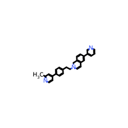 Cc1cc(-c2ccc(CCN3C=Cc4cc(-c5cccnc5)ccc4C3)cc2)ccn1